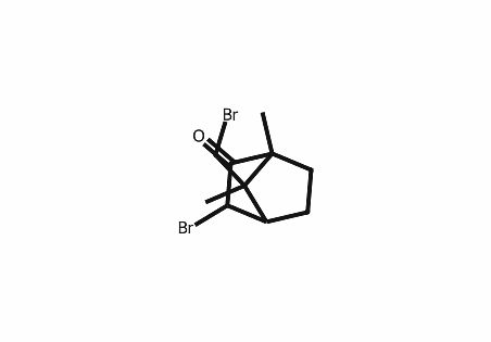 CC12CCC(C(Br)C1=O)C2(C)CBr